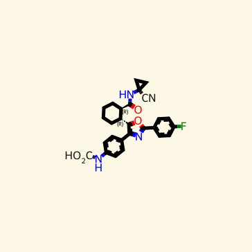 N#CC1(NC(=O)[C@@H]2CCCC[C@H]2c2oc(-c3ccc(F)cc3)nc2-c2ccc(NC(=O)O)cc2)CC1